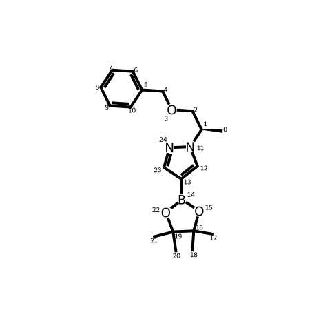 C[C@H](COCc1ccccc1)n1cc(B2OC(C)(C)C(C)(C)O2)cn1